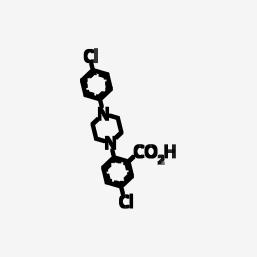 O=C(O)c1cc(Cl)ccc1N1CCN(c2ccc(Cl)cc2)CC1